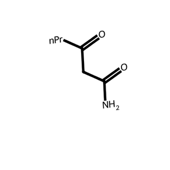 CCCC(=O)CC(N)=O